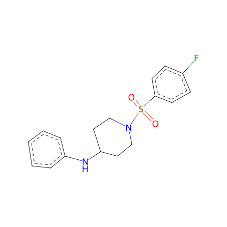 O=S(=O)(c1ccc(F)cc1)N1CCC(Nc2ccccc2)CC1